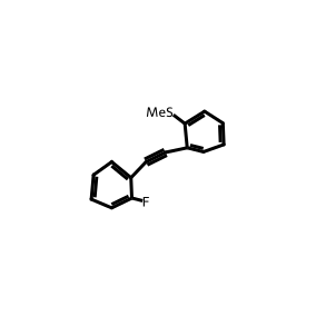 CSc1ccccc1C#Cc1ccccc1F